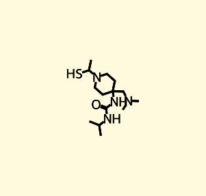 CC(C)NC(=O)NC1(CN(C)C)CCN(C(C)S)CC1